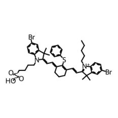 CCCCC[N+]1=C(/C=C/C2=C(Sc3ccccc3)C(=C/C=C3/N(CCCCS(=O)(=O)O)c4ccc(Br)cc4C3(C)C)/CCC2)C(C)(C)c2cc(Br)ccc21